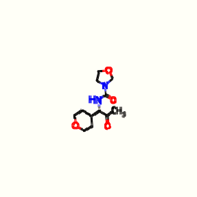 CC(=O)[C@@H](NC(=O)N1CCOC1)C1CCOCC1